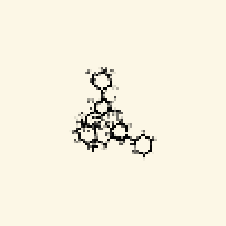 Fc1cc(C2CCCCC2)cc2c1OC13Oc4c(F)cc(C5CCCCC5)cc4C[C@H]1CCC[C@@H]3C2